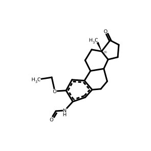 CCOc1cc2c(cc1NC=O)CCC1C2CC[C@]2(C)C(=O)CCC12